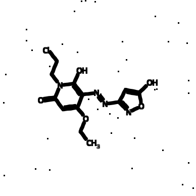 CCOc1cc(=O)n(CCCl)c(O)c1N=Nc1cc(O)on1